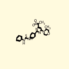 CC(c1cc(N2CCOC[C@@H]2C)nc(-c2ccc(NC(=S)Nc3ccccc3)cc2)n1)=S(=O)=O